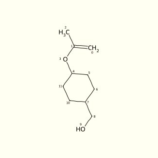 C=C(C)OC1CCC(CO)CC1